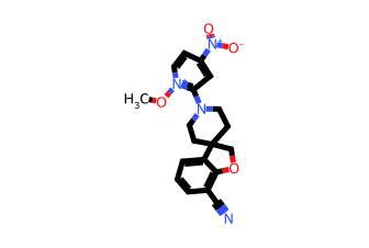 CO[n+]1ccc([N+](=O)[O-])cc1N1CCC2(CC1)COc1c(C#N)cccc12